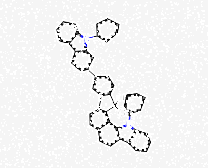 CC1(C)c2ccc(-c3ccc4c5ccccc5n(-c5ccccc5)c4c3)cc2-c2ccc3ccc4c5ccccc5n(-c5ccccc5)c4c3c21